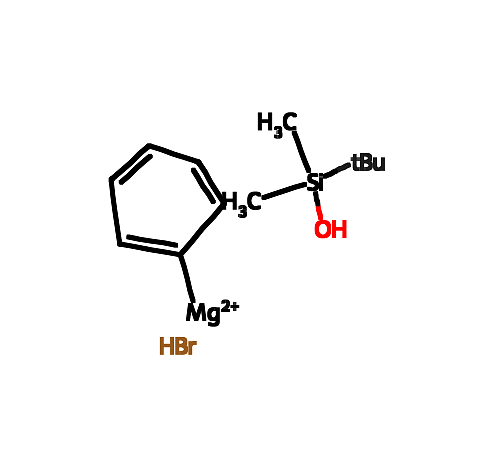 Br.CC(C)(C)[Si](C)(C)O.[Mg+2][c]1ccccc1